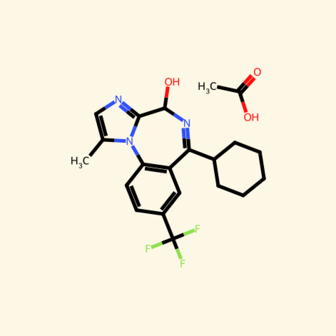 CC(=O)O.Cc1cnc2n1-c1ccc(C(F)(F)F)cc1C(C1CCCCC1)=NC2O